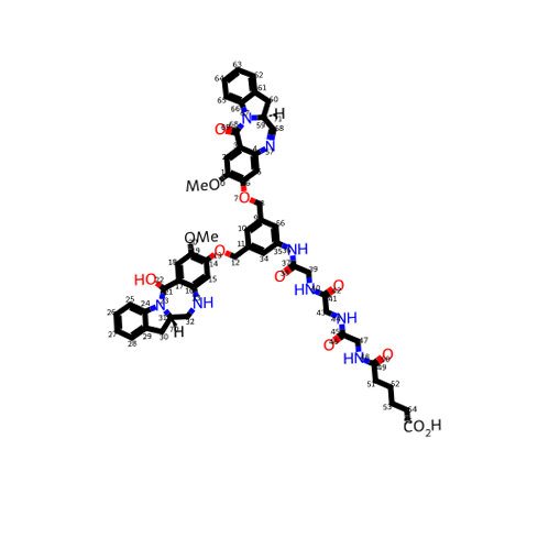 COc1cc2c(cc1OCc1cc(COc3cc4c(cc3OC)C(O)N3c5ccccc5C[C@H]3CN4)cc(NC(=O)CNC(=O)CNC(=O)CNC(=O)CCCCC(=O)O)c1)N=C[C@@H]1Cc3ccccc3N1C2=O